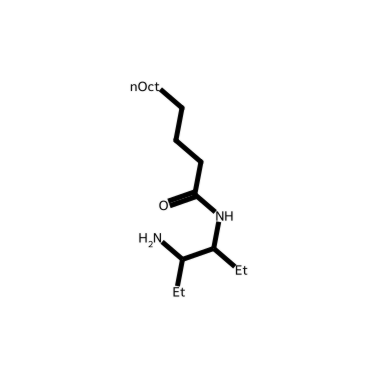 CCCCCCCCCCCC(=O)NC(CC)C(N)CC